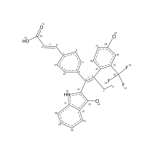 CC/C(=C(/c1ccc(/C=C/C(=O)O)cc1)c1[nH]c2ccccc2c1Cl)c1ccc(Cl)cc1C(F)(F)F